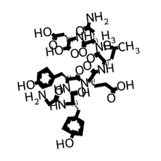 CC(C)C[C@H](NC(=O)[C@H](CCC(=O)O)NC(=O)[C@H](Cc1ccc(O)cc1)NC(=O)[C@H](Cc1ccc(O)cc1)NC(=O)CN)C(=O)N[C@@H](CC(N)=O)C(=O)N[C@@H](CC(=O)O)C(=O)O